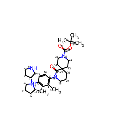 Cc1cc([N+]2([C@H]3CCNC3)CCC[C@@H]2C)ccc1N1CCCC2(CCN(C(=O)OC(C)(C)C)CC2)C1=O